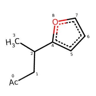 CC(=O)CC(C)c1ccco1